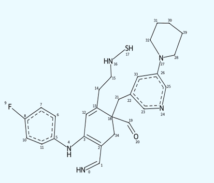 N=CC1=C(Nc2ccc(F)cc2)C=C(CCNS)C(C=O)(Cc2cncc(N3CCCCC3)c2)C1